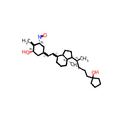 C=C1[C@H](O)C/C(=C/C=C2\CCC[C@@]3(C)C2CCC3[C@@H](C)CCCC2(O)CCCC2)C[C@H]1N=O